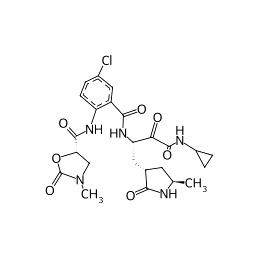 C[C@@H]1C[C@@H](C[C@H](NC(=O)c2cc(Cl)ccc2NC(=O)[C@@H]2CN(C)C(=O)O2)C(=O)C(=O)NC2CC2)C(=O)N1